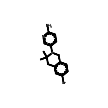 CC1(C)Cc2cc(Br)ccc2CN1c1ccc(N)nc1